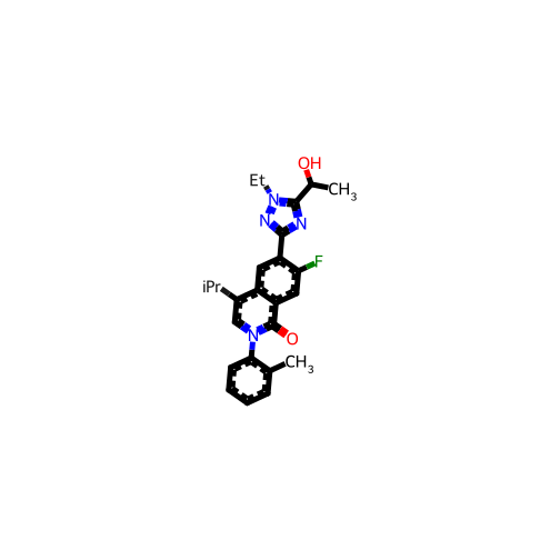 CCn1nc(-c2cc3c(C(C)C)cn(-c4ccccc4C)c(=O)c3cc2F)nc1C(C)O